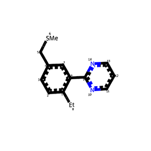 CCc1ccc(CSC)cc1-c1ncccn1